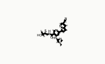 Cn1cnc(Nc2cc(-c3ccc4cc(C#N)cnn34)ncc2C(=O)NC[C@@H](F)C(C)(C)O)c1